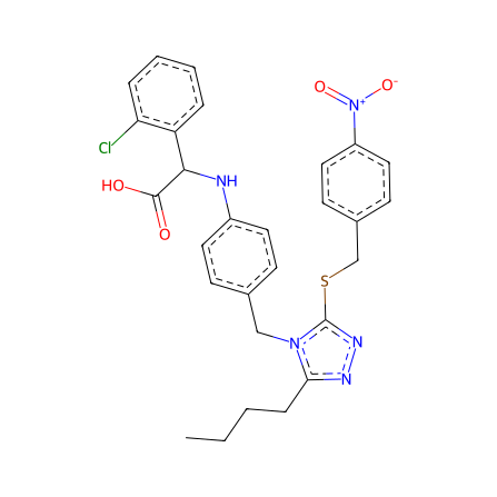 CCCCc1nnc(SCc2ccc([N+](=O)[O-])cc2)n1Cc1ccc(NC(C(=O)O)c2ccccc2Cl)cc1